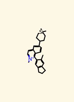 Cc1cc2c(cc1-c1c3ccc(C4CC[Si](C)(C)CC4)cc3cc[n+]1C)CCC2